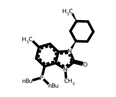 CCCCP(CCCC)c1cc(C)cc2c1n(C)c(=O)n2[C@@H]1CCC[C@H](C)C1